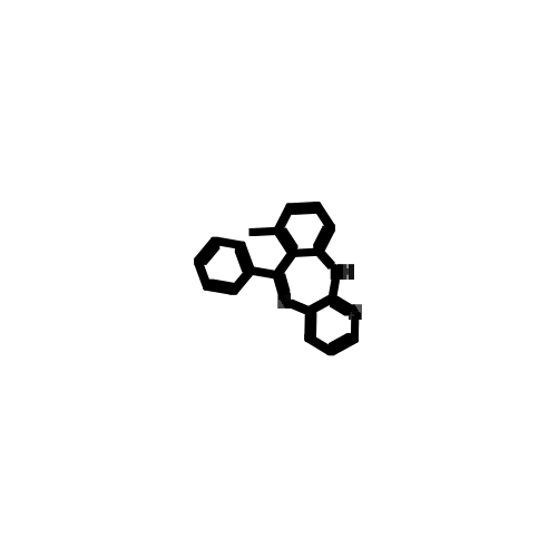 Cc1cccc2c1C(c1ccccc1)=Nc1cccnc1N2